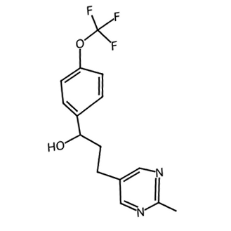 Cc1ncc(CCC(O)c2ccc(OC(F)(F)F)cc2)cn1